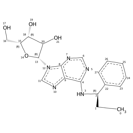 CC[C@@H](Nc1ncnc2c1ncn2[C@@H]1O[C@H](CO)[C@H](O)C1O)c1ccccc1